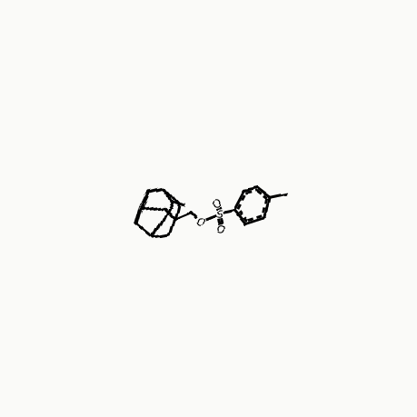 Cc1ccc(S(=O)(=O)OCC23CC4CC(C2)C(C)C(C4)C3)cc1